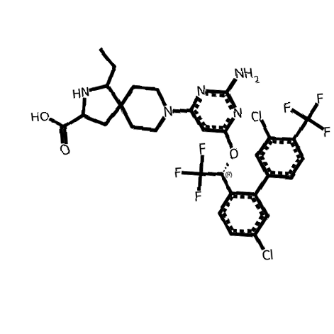 CCC1NC(C(=O)O)CC12CCN(c1cc(O[C@H](c3ccc(Cl)cc3-c3ccc(C(F)(F)F)c(Cl)c3)C(F)(F)F)nc(N)n1)CC2